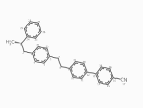 C[C@H](Cc1ccc(CCc2ccc(-c3ccc(C#N)cc3)cc2)cc1)c1ccccc1